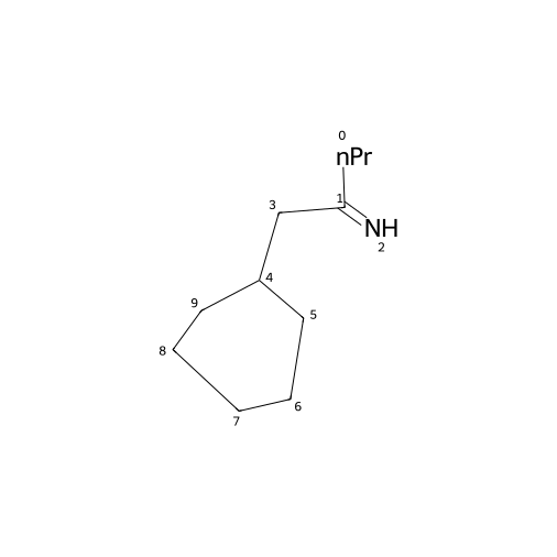 CCCC(=N)CC1CCCCC1